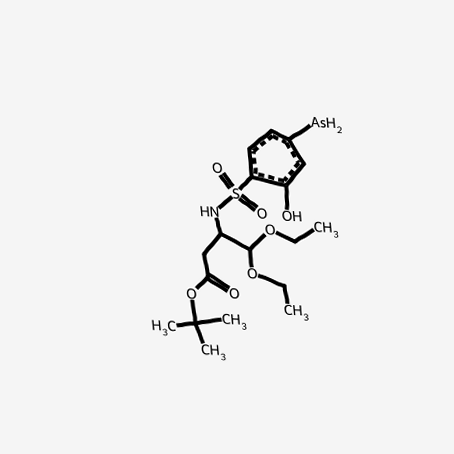 CCOC(OCC)C(CC(=O)OC(C)(C)C)NS(=O)(=O)c1ccc([AsH2])cc1O